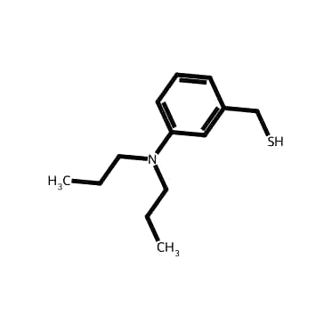 CCCN(CCC)c1cccc(CS)c1